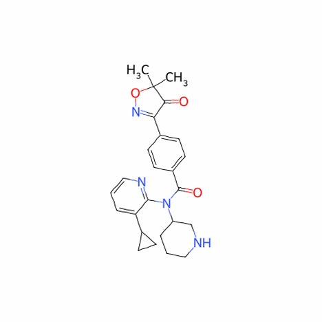 CC1(C)ON=C(c2ccc(C(=O)N(c3ncccc3C3CC3)C3CCCNC3)cc2)C1=O